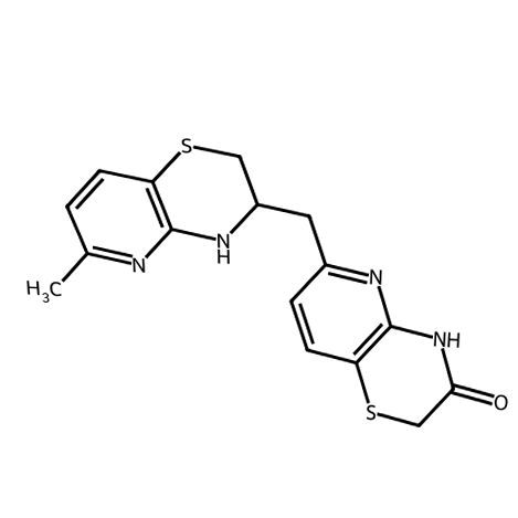 Cc1ccc2c(n1)NC(Cc1ccc3c(n1)NC(=O)CS3)CS2